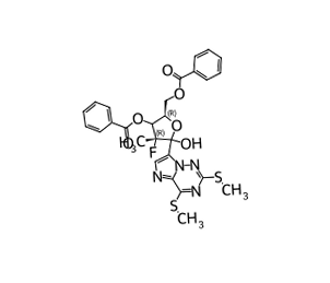 CSc1nc(SC)c2ncc(C3(O)O[C@H](COC(=O)c4ccccc4)C(OC(=O)c4ccccc4)[C@@]3(C)F)n2n1